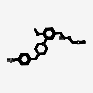 COc1ccc(CNOC=C=O)cc1N1CCN(Cc2ccc(N)cc2)CC1